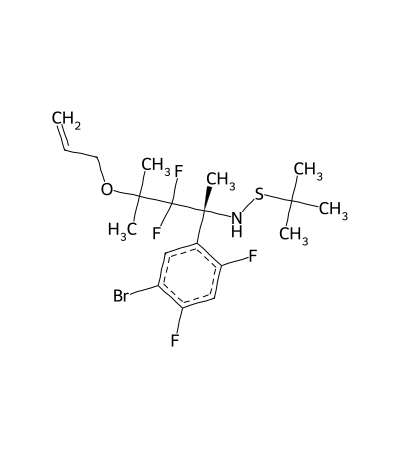 C=CCOC(C)(C)C(F)(F)[C@](C)(NSC(C)(C)C)c1cc(Br)c(F)cc1F